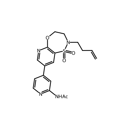 C=CCCN1CCOc2ncc(-c3ccnc(NC(C)=O)c3)cc2S1(=O)=O